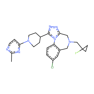 Cc1nccc(N2CCC(c3nnc4n3-c3ccc(Cl)cc3CN(CC3(F)CC3)C4)CC2)n1